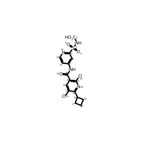 O=C(O)NS(=O)(=O)c1cc(NC(=O)c2cc(Cl)c(C3CCC3)nc2Cl)ccn1